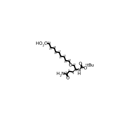 CC(C)(C)OC(=O)N[C@@H](CCC(N)=O)COCCCCCCCCCC(=O)O